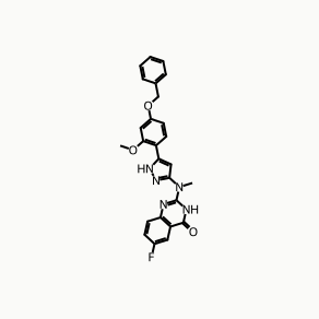 COc1cc(OCc2ccccc2)ccc1-c1cc(N(C)c2nc3ccc(F)cc3c(=O)[nH]2)n[nH]1